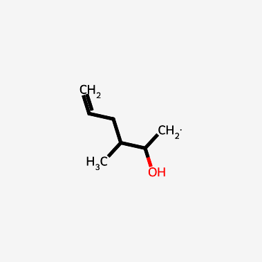 [CH2]C(O)C(C)CC=C